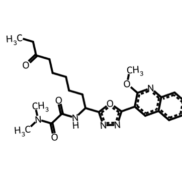 CCC(=O)CCCCCC(NC(=O)C(=O)N(C)C)c1nnc(-c2cc3ccccc3nc2OC)o1